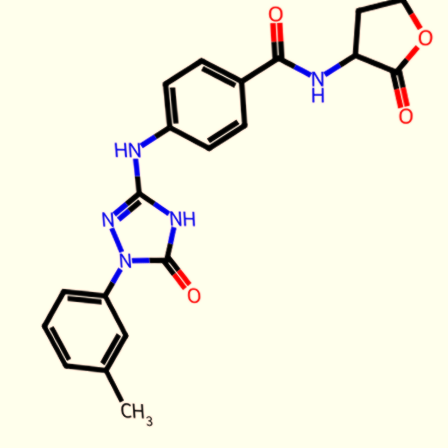 Cc1cccc(-n2nc(Nc3ccc(C(=O)NC4CCOC4=O)cc3)[nH]c2=O)c1